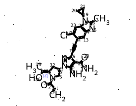 C=CC(=O)N1C[C@@H](n2nc(C#Cc3cc4nc(C)n(C5CC5)c4cc3Cl)c(C(N)=O)c2N)C/C1=C(\C)O